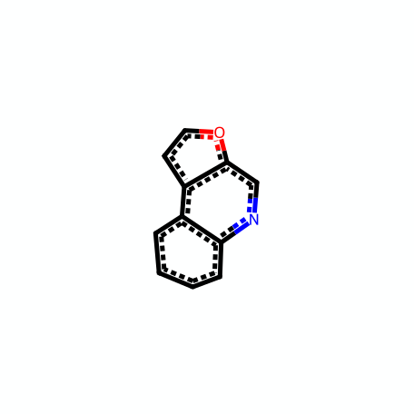 c1ccc2c(c1)ncc1occc12